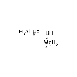 F.[AlH3].[LiH].[MgH2]